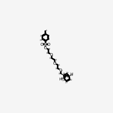 Cc1ccc(S(=O)(=O)OCCOCCOCCOC[C@H]2C[C@H]3C=C[C@@H]2C3)cc1